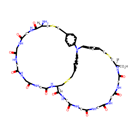 N[C@H]1CSCc2ccc(cc2)N2c3ccc(cc3)CSC[C@@H](C(=O)O)NC(=O)CNC(=O)CNC(=O)CNC(=O)CNC(=O)CNC(=O)[C@H](CSCc3ccc2cc3)NC(=O)CNC(=O)CNC(=O)CNC(=O)CNC(=O)CNC1=O